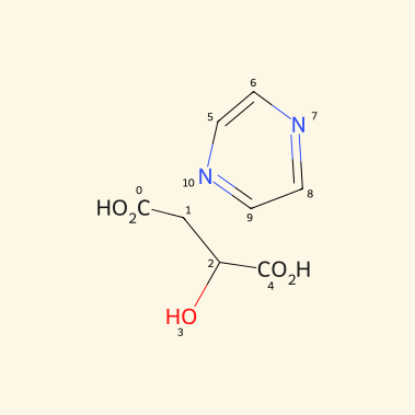 O=C(O)CC(O)C(=O)O.c1cnccn1